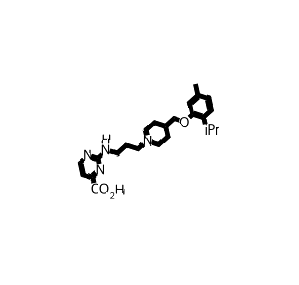 Cc1ccc(C(C)C)c(OCC2CCN(CCCNc3nccc(C(=O)O)n3)CC2)c1